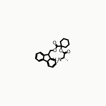 C[C@H](N)C(=O)OC1(C(=O)OCC2c3ccccc3-c3ccccc32)CCCCC1